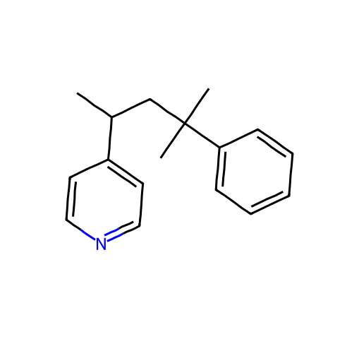 CC(CC(C)(C)c1ccccc1)c1ccncc1